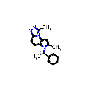 Cc1cc2c(ccc3nnc(C)n32)n1[C@@H](C)c1ccccc1